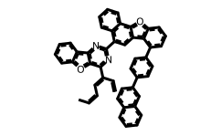 C=C/C(=C\C=C/C)c1nc(-c2cc3c(oc4cccc(-c5ccc(-c6ccc7ccccc7c6)cc5)c43)c3ccccc23)nc2c1oc1ccccc12